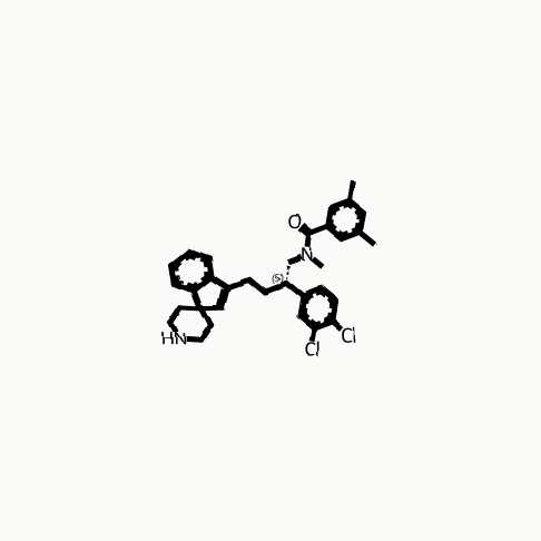 Cc1cc(C)cc(C(=O)N(C)C[C@@H](CCC2=CC3(CCNCC3)c3ccccc32)c2ccc(Cl)c(Cl)c2)c1